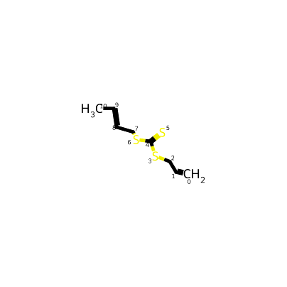 C=CCSC(=S)SCC=CC